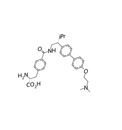 CC(C)[C@@H](CNC(=O)c1ccc(C[C@@H](N)C(=O)O)cc1)c1ccc(-c2ccc(OCCN(C)C)cc2)cc1